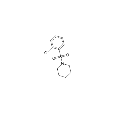 O=S(=O)(c1ccccc1Cl)N1CC[CH]CC1